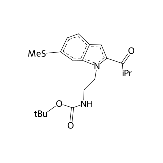 CSc1ccc2cc(C(=O)C(C)C)n(CCNC(=O)OC(C)(C)C)c2c1